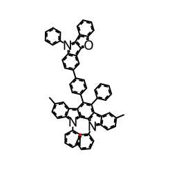 Cc1ccc2c(c1)c1c(-c3ccccc3)c(-c3ccc(-c4ccc5c(c4)c4oc6ccccc6c4n5-c4ccccc4)cc3)c3c4cc(C)ccc4n(-c4ccccc4)c3c1n2-c1ccccc1